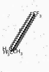 C[N+](C)(C)C(F)(F)C(F)(F)C(F)(F)C(F)(F)C(F)(F)C(F)(F)C(F)(F)C(F)(F)C(F)(F)C(F)(F)C(F)(F)C(F)(F)C(F)(F)C(F)(F)C(F)(F)C(F)(F)C(F)(F)C(F)(F)F.[I-]